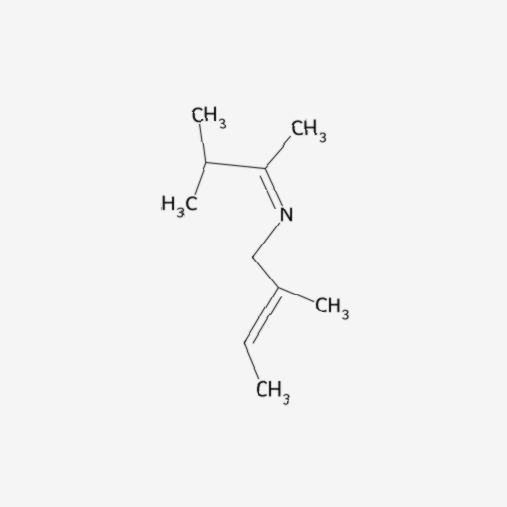 C/C=C(\C)C/N=C(/C)C(C)C